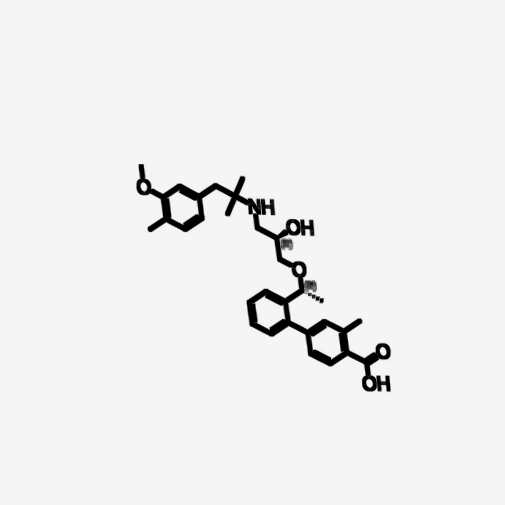 COc1cc(CC(C)(C)NC[C@@H](O)CO[C@H](C)c2ccccc2-c2ccc(C(=O)O)c(C)c2)ccc1C